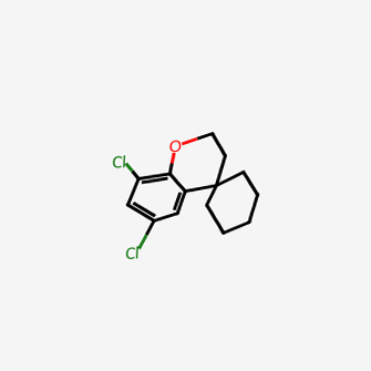 Clc1cc(Cl)c2c(c1)C1(CCCCC1)CCO2